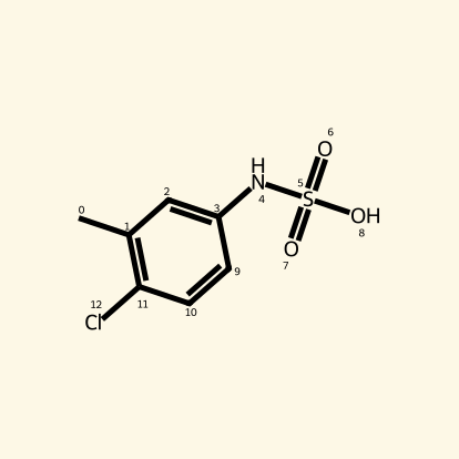 Cc1cc(NS(=O)(=O)O)ccc1Cl